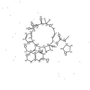 CN(C(=O)O[C@H]1/C=C/COC(C)(C)C(=O)NS(=O)(=O)c2ccc3c(c2)N(C[C@@H]2CC[C@H]21)C[C@]1(CO3)OCCc2cc(Cl)ccc21)[C@@H]1CCOC1